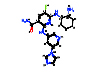 NC(=O)c1cc(F)c(N[C@H]2CCCC[C@H]2N)nc1Nc1cncc(-n2ccnc2)c1